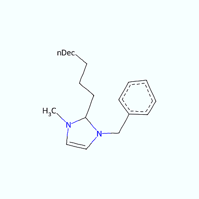 CCCCCCCCCCCCCC1N(C)C=CN1Cc1ccccc1